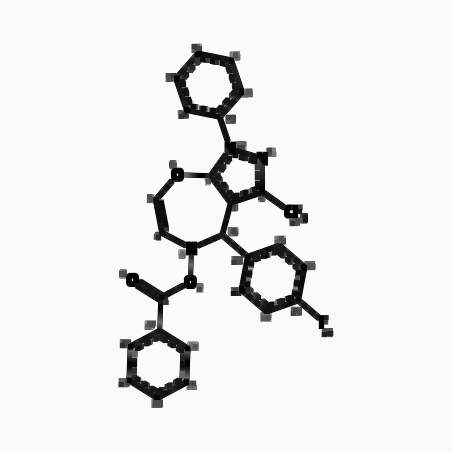 O=C(ON1C=COc2c(c(C(F)(F)F)nn2-c2ccccc2)C1c1ccc(F)cc1)c1ccccc1